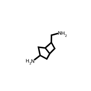 NCC1CC2CC(N)CC12